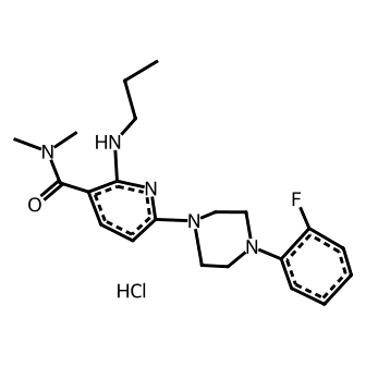 CCCNc1nc(N2CCN(c3ccccc3F)CC2)ccc1C(=O)N(C)C.Cl